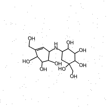 OCC1=CC(NC2CC(O)(CO)C(O)C(O)C2O)C(O)C(O)C1O